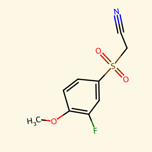 COc1ccc(S(=O)(=O)CC#N)cc1F